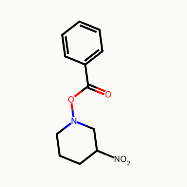 O=C(ON1CCCC([N+](=O)[O-])C1)c1ccccc1